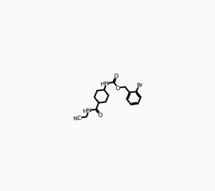 N#CCNC(=O)C1CCC(NC(=O)OCc2ccccc2Br)CC1